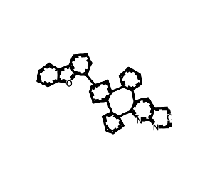 c1ccc2c(c1)-c1cc(-c3cccc4c3oc3ccccc34)ccc1-c1ccccc1-c1nc3ncccc3cc1-2